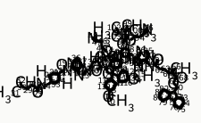 COc1ccc(C(OC[C@H]2O[C@@H](n3cnc4c(NC(=O)c5ccc(CNC(=O)CCC(C)C)cc5)ncnc43)C[C@H]2O[PH](O)(OCCC#N)OC[C@H]2O[C@@H](n3cnc4c(NC(=O)CCCN(C)C(=O)OCC5c6ccccc6-c6ccccc65)ncnc43)C[C@H]2OP(OCCC#N)N(C(C)C)C(C)C)(c2ccccc2)c2ccc(OC)cc2)cc1